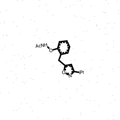 CC(=O)NOc1ccccc1Cc1cc(C(C)C)no1